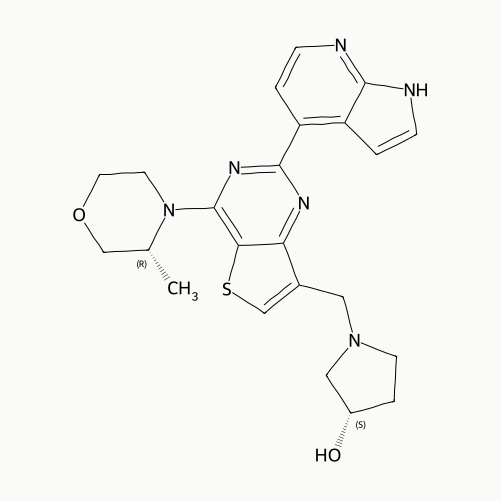 C[C@@H]1COCCN1c1nc(-c2ccnc3[nH]ccc23)nc2c(CN3CC[C@H](O)C3)csc12